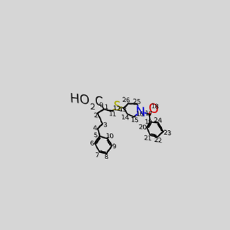 O=C(O)C(CCCc1ccccc1)CSC1CCN(C(=O)c2ccccc2)CC1